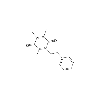 CC1=C(C)C(=O)C(CCc2ccccc2)=C(C)C1=O